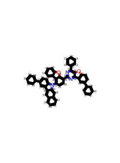 c1ccc(-c2ccc3oc4c(-c5ccccc5)nc(-c5ccc(-n6c7ccc(-c8ccccc8)cc7c7cc8ccccc8cc76)c6c5oc5ccccc56)nc4c3c2)cc1